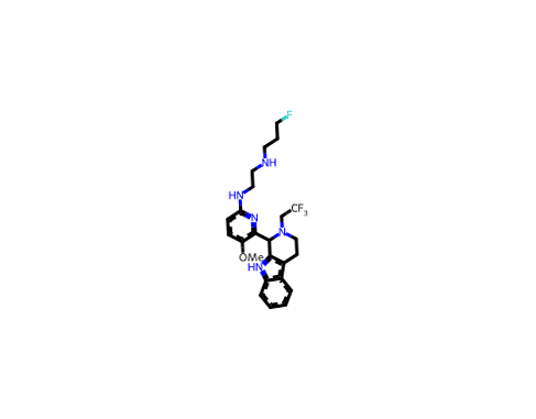 COc1ccc(NCCNCCCF)nc1C1c2[nH]c3ccccc3c2CCN1CC(F)(F)F